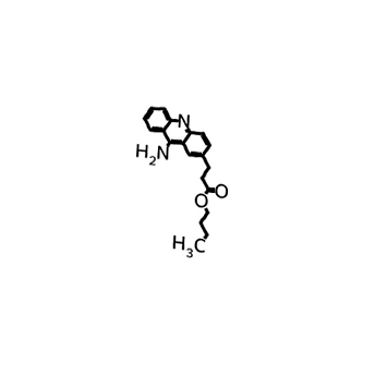 CCCCOC(=O)CCc1ccc2nc3ccccc3c(N)c2c1